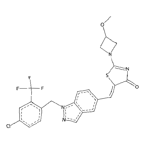 COC1CN(C2=NC(=O)/C(=C/c3ccc4c(cnn4Cc4ccc(Cl)cc4C(F)(F)F)c3)S2)C1